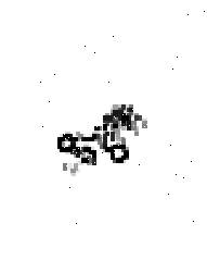 Cc1ncc(C(Sc2ccccc2)C2CC(O[Si](C)(C)C(C)(C)C)CN2Cc2ccccc2)[nH]1